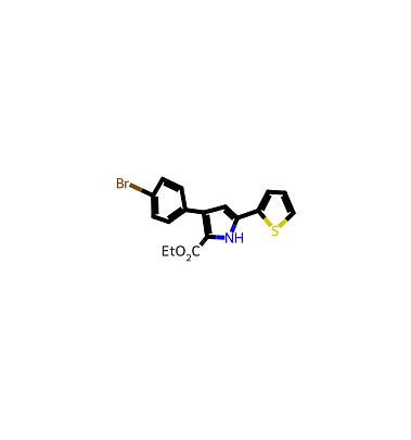 CCOC(=O)c1[nH]c(-c2cccs2)cc1-c1ccc(Br)cc1